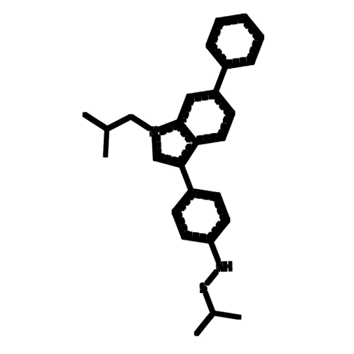 CC(C)Cn1cc(-c2ccc(NSC(C)C)cc2)c2ccc(-c3ccccc3)cc21